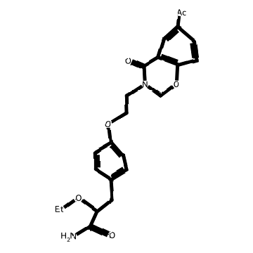 CCOC(Cc1ccc(OCCN2COc3ccc(C(C)=O)cc3C2=O)cc1)C(N)=O